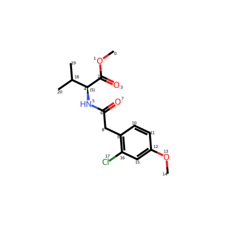 COC(=O)[C@@H](NC(=O)Cc1ccc(OC)cc1Cl)C(C)C